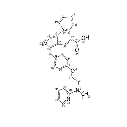 CN(CCOc1ccc(Cc2[nH]cc(-c3ccccc3)c2C=CC(=O)O)cc1)c1ccccn1